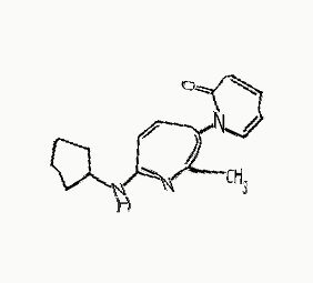 Cc1nc(NC2CCCC2)ccc1-n1ccccc1=O